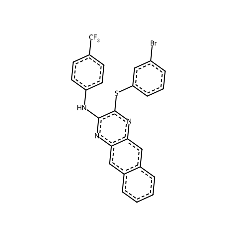 FC(F)(F)c1ccc(Nc2nc3cc4ccccc4cc3nc2Sc2cccc(Br)c2)cc1